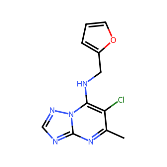 Cc1nc2ncnn2c(NCc2ccco2)c1Cl